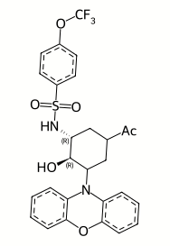 CC(=O)C1CC(N2c3ccccc3Oc3ccccc32)[C@@H](O)[C@H](NS(=O)(=O)c2ccc(OC(F)(F)F)cc2)C1